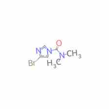 CN(C)C(=O)n1cnc(Br)c1